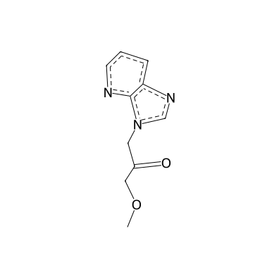 COCC(=O)Cn1cnc2cccnc21